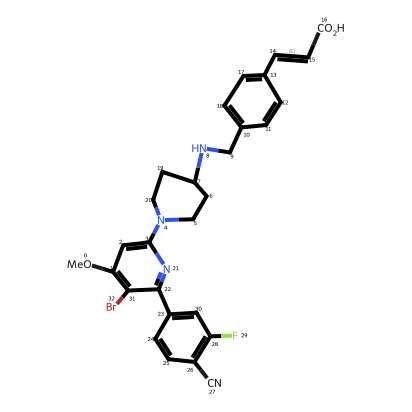 COc1cc(N2CCC(NCc3ccc(/C=C/C(=O)O)cc3)CC2)nc(-c2ccc(C#N)c(F)c2)c1Br